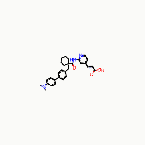 CN(C)c1ccc(-c2ccc(CC3(C(=O)Nc4cc(/C=C/C(=O)O)ccn4)CCCCC3)cc2)cc1